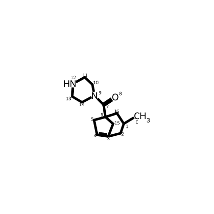 CC1CC2=CCC(C(=O)N3CCNCC3)(C2)C1